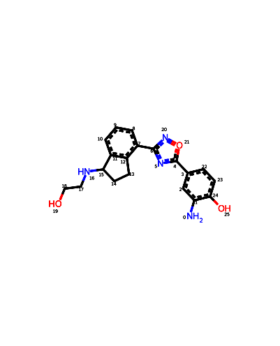 Nc1cc(-c2nc(-c3cccc4c3CCC4NCCO)no2)ccc1O